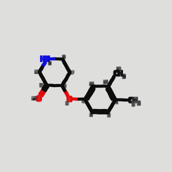 Cc1ccc(OC2CCNCC2=O)cc1C